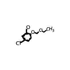 CCOCOc1ccc(Cl)cc1C=O